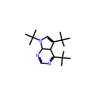 CC(C)(C)C1=CN(C(C)(C)C)C2N=CN=C(C(C)(C)C)C12